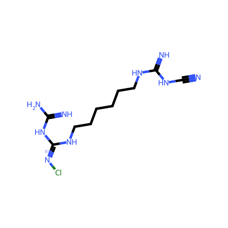 N#CNC(=N)NCCCCCCN/C(=N\Cl)NC(=N)N